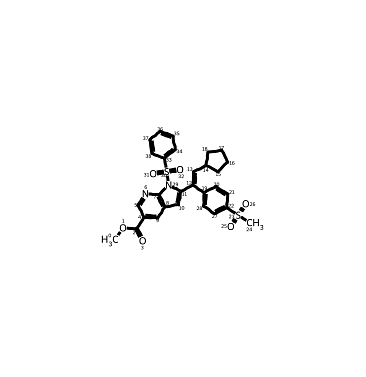 COC(=O)c1cnc2c(c1)cc(C(=CC1CCCC1)c1ccc(S(C)(=O)=O)cc1)n2S(=O)(=O)c1ccccc1